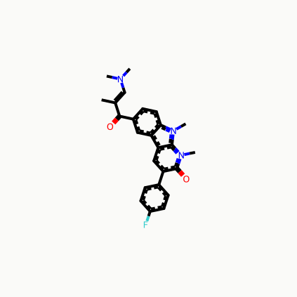 CC(=CN(C)C)C(=O)c1ccc2c(c1)c1cc(-c3ccc(F)cc3)c(=O)n(C)c1n2C